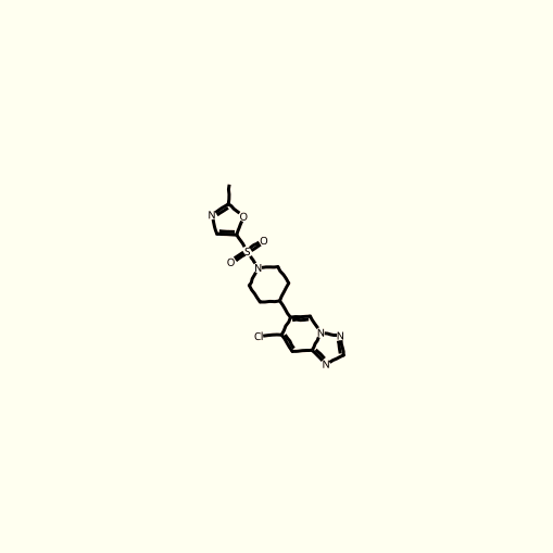 Cc1ncc(S(=O)(=O)N2CCC(c3cn4ncnc4cc3Cl)CC2)o1